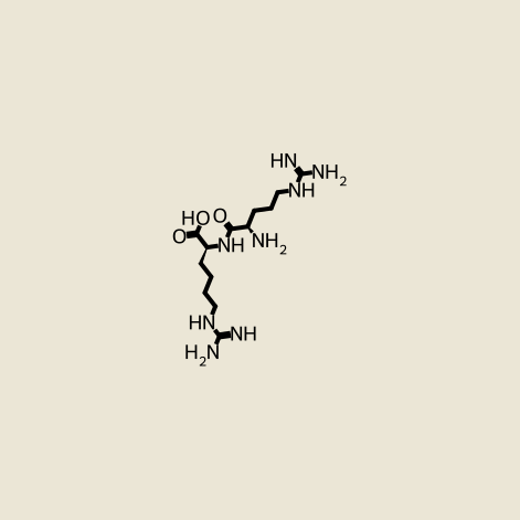 N=C(N)NCCCC[C@H](NC(=O)[C@H](N)CCCNC(=N)N)C(=O)O